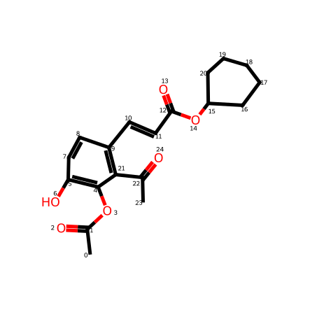 CC(=O)Oc1c(O)ccc(C=CC(=O)OC2CCCCC2)c1C(C)=O